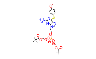 COc1ccc(Sc2nc(N)nc3c2ncn3CCOCP(=O)(OOCOC(=O)C(C)(C)C)OOCOC(=O)C(C)(C)C)cc1